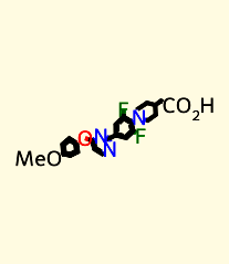 COc1ccc(Oc2ccnc(-c3cc(F)c(N4CCC(CC(=O)O)CC4)c(F)c3)n2)cc1